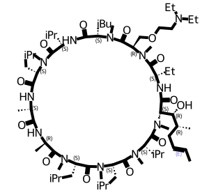 C/C=C/C[C@@H](C)[C@@H](O)[C@H]1C(=O)N[C@@H](CC)C(=O)N(C)[C@H](COCCN(CC)CC)C(=O)N(C)[C@@H](C(C)CC)C(=O)N[C@@H](C(C)C)C(=O)N(C)[C@@H](CC(C)C)C(=O)N[C@@H](C)C(=O)N[C@H](C)C(=O)N(C)[C@@H](CC(C)C)C(=O)N(C)[C@@H](CC(C)C)C(=O)N(C)[C@@H](C(C)C)C(=O)N1C